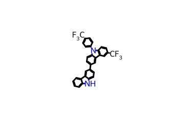 FC(F)(F)c1ccc(-n2c3ccc(-c4ccc5[nH]c6ccccc6c5c4)cc3c3cc(C(F)(F)F)ccc32)cc1